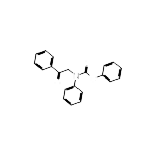 O=C(CN(C(=S)Oc1ccccc1)c1ccccc1)c1ccccc1